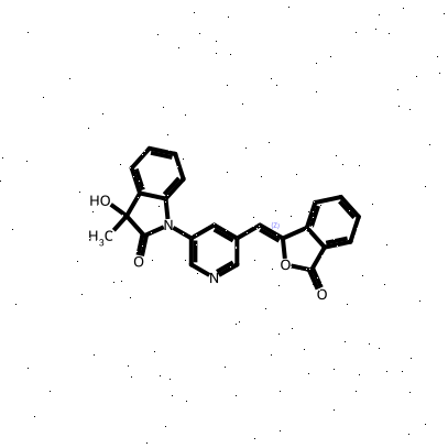 CC1(O)C(=O)N(c2cncc(/C=C3\OC(=O)c4ccccc43)c2)c2ccccc21